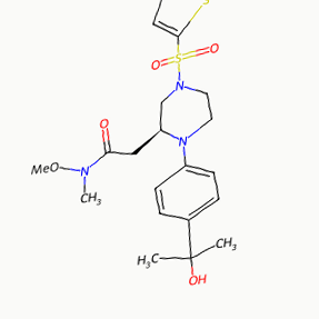 CON(C)C(=O)C[C@H]1CN(S(=O)(=O)c2cccs2)CCN1c1ccc(C(C)(C)O)cc1